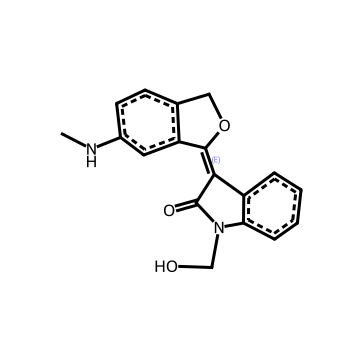 CNc1ccc2c(c1)/C(=C1\C(=O)N(CO)c3ccccc31)OC2